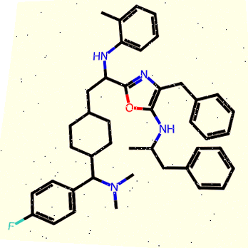 Cc1ccccc1NC(CC1CCC(C(c2ccc(F)cc2)N(C)C)CC1)c1nc(Cc2ccccc2)c(NC(C)Cc2ccccc2)o1